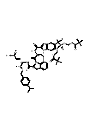 CC(C)c1ccc(CO[C@H](C)[C@H](CCC(N)=O)NC(=O)[C@@H]2Cc3cccc4c3N2C(=O)[C@@H](NC(=O)c2cc3cc(C(F)(F)P(=O)(OCOC(=O)C(C)(C)C)OCOC(=O)C(C)(C)C)ccc3[nH]2)CC4)cc1